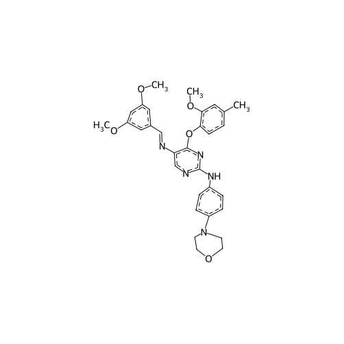 COc1cc(C=Nc2cnc(Nc3ccc(N4CCOCC4)cc3)nc2Oc2ccc(C)cc2OC)cc(OC)c1